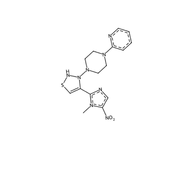 Cn1c([N+](=O)[O-])cnc1C1=CSNN1N1CCN(c2ccccn2)CC1